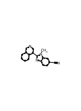 Cn1c(-c2cncc3ccccc23)nc2ccc(C#N)cc21